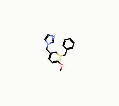 COC1=CC=C(Cn2ccnc2)C[SH]1Cc1ccccc1